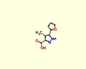 Cc1c(C(=O)O)n[nH]c1-c1ccco1